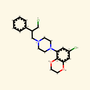 ClCC(CN1CCN(c2cc(Cl)cc3c2OCCO3)CC1)c1ccccc1